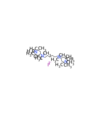 CN1C(C)(C)CC([N+](C)(C)CCCCCC[N+](C)(C)C2CC(C)(C)N(C)C(C)(C)C2)CC1(C)C.[I-].[I-]